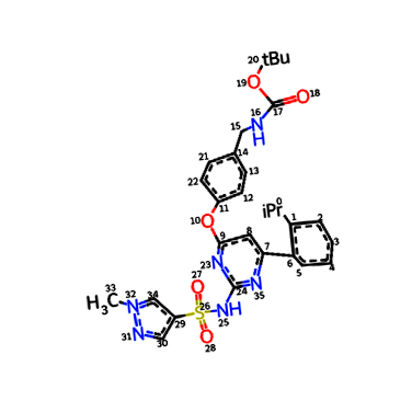 CC(C)c1ccccc1-c1cc(Oc2ccc(CNC(=O)OC(C)(C)C)cc2)nc(NS(=O)(=O)c2cnn(C)c2)n1